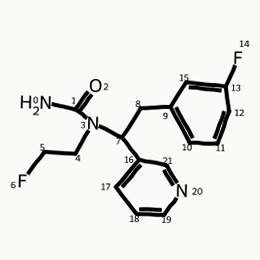 NC(=O)N(CCF)C(Cc1cccc(F)c1)c1cccnc1